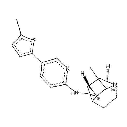 Cc1ccc(-c2ccc(N[C@H]3C4CCN(CC4)[C@@H]3C)nc2)s1